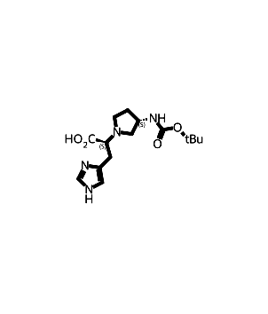 CC(C)(C)OC(=O)N[C@H]1CCN([C@@H](Cc2c[nH]cn2)C(=O)O)C1